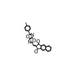 Cc1ccc(-c2nc3oc(C=C4C(=O)c5cc6ccccc6cc5C4=O)nc3o2)cc1